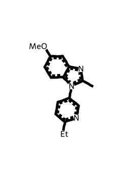 CCc1ccc(-n2c(C)nc3cc(OC)ccc32)cn1